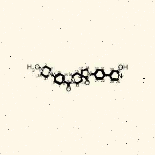 CN1CCN(c2ccc(C(=O)N3CCC4(CC3)CCN(c3ccc(-c5ccnc(O)c5)cc3)C4=O)cc2)CC1